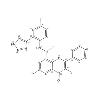 Cc1cc([C@@H](C)Nc2ccc(C)nc2-c2nn[nH]n2)c2oc(-c3ccccc3)c(C)c(=O)c2c1